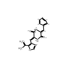 C=C(C)c1ocnc1/C=c1\[nH]c(=O)/c(=C/c2ccccc2)[nH]c1=O